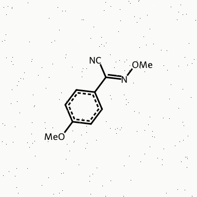 CO/N=C(\C#N)c1ccc(OC)cc1